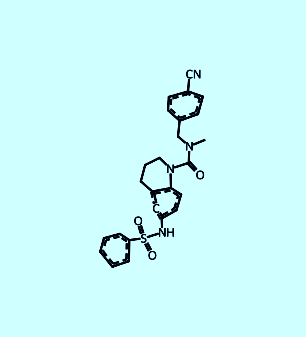 CN(Cc1ccc(C#N)cc1)C(=O)N1CCCc2cc(NS(=O)(=O)c3ccccc3)ccc21